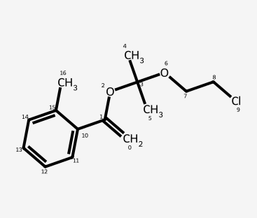 C=C(OC(C)(C)OCCCl)c1ccccc1C